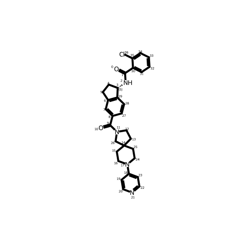 O=C(N[C@H]1CCc2cc(C(=O)N3CCC4(CCN(c5ccncc5)CC4)C3)ccc21)c1ccccc1Cl